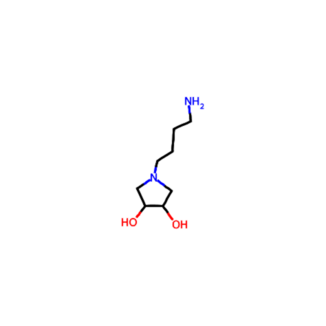 NCCCCN1CC(O)C(O)C1